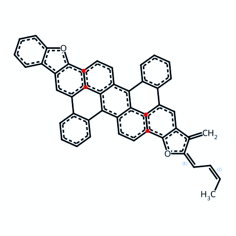 C=c1/c(=C\C=C/C)oc2ccc(-c3ccccc3-c3c4ccccc4c(-c4ccccc4-c4ccc5oc6ccccc6c5c4)c4ccccc34)cc12